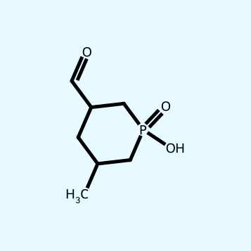 CC1CC(C=O)CP(=O)(O)C1